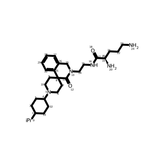 CC(C)C1CCC(N2CCC3(CC2)C(=O)N(CCNC(=O)[C@H](N)CCCN)Cc2ccccc23)CC1